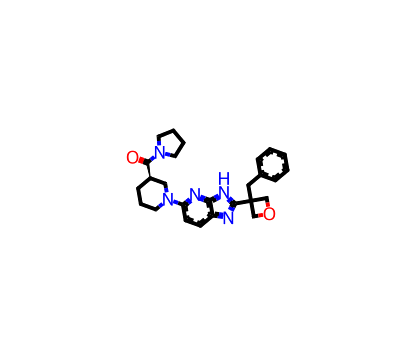 O=C([C@@H]1CCCN(c2ccc3nc(C4(Cc5ccccc5)COC4)[nH]c3n2)C1)N1CCCC1